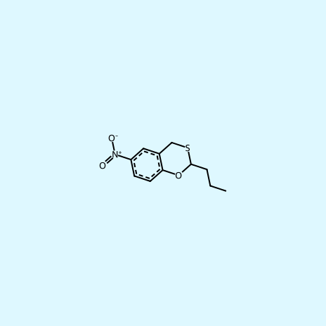 CCCC1Oc2ccc([N+](=O)[O-])cc2CS1